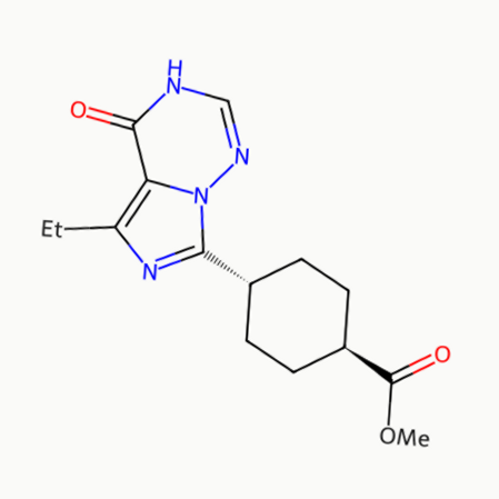 CCc1nc([C@H]2CC[C@H](C(=O)OC)CC2)n2nc[nH]c(=O)c12